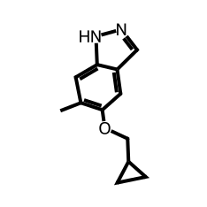 Cc1cc2[nH]ncc2cc1OCC1CC1